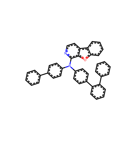 c1ccc(-c2ccc(N(c3ccc(-c4ccccc4-c4ccccc4)cc3)c3nccc4c3oc3ccccc34)cc2)cc1